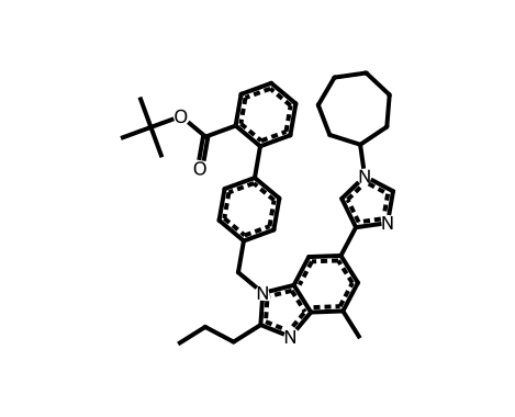 CCCc1nc2c(C)cc(-c3cn(C4CCCCCC4)cn3)cc2n1Cc1ccc(-c2ccccc2C(=O)OC(C)(C)C)cc1